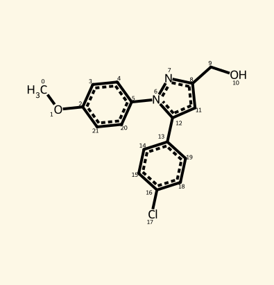 COc1ccc(-n2nc(CO)cc2-c2ccc(Cl)cc2)cc1